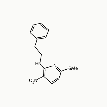 CSc1ccc([N+](=O)[O-])c(NCCc2ccccc2)n1